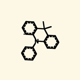 CC1(C)c2ccc[c]c2N(c2ccccc2)c2ccccc21